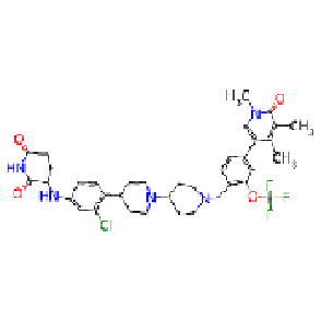 Cc1c(-c2ccc(CN3CCC(N4CCC(c5ccc(NC6CCC(=O)NC6=O)cc5Cl)CC4)CC3)c(OC(F)(F)F)c2)cn(C)c(=O)c1C